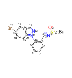 CC(C)(C)[S@+]([O-])/N=C/c1ccccc1-n1ncc2cc(Br)ccc21